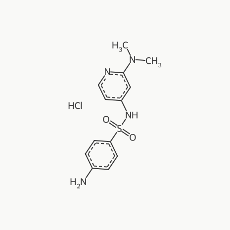 CN(C)c1cc(NS(=O)(=O)c2ccc(N)cc2)ccn1.Cl